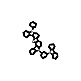 c1ccc(-n2c3ccccc3c3c4sc5c(ccc6c5c5ccccc5n6-c5cccc(-n6c7ccccc7c7ccccc76)c5)c4ccc32)cc1